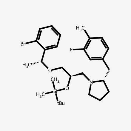 Cc1ccc(C[C@@H]2CCCN2C[C@H](CO[C@H](C)c2ccccc2Br)O[Si](C)(C)C(C)(C)C)cc1F